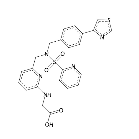 O=C(O)CNc1cccc(CN(Cc2ccc(-c3cscn3)cc2)S(=O)(=O)c2ccccn2)n1